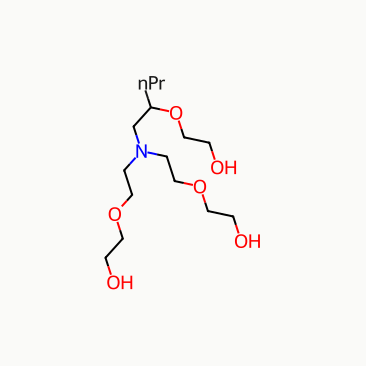 CCCC(CN(CCOCCO)CCOCCO)OCCO